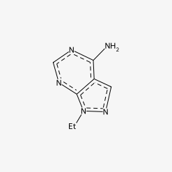 CCn1ncc2c(N)ncnc21